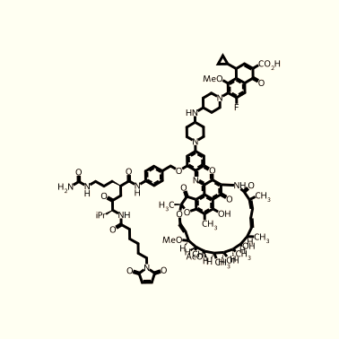 COc1c2c(cc(F)c1N1CCC(NC3CCN(c4cc(OCc5ccc(NC(=O)[C@H](CCCNC(N)=O)CC(=O)[C@@H](NC(=O)CCCCCN6C(=O)C=CC6=O)C(C)C)cc5)c5nc6c7c8c9c(C)c(O)c7c(=O)c(c-6oc5c4)NC(=O)/C(C)=C\C=C\[C@H](C)[C@H](O)[C@@H](C)[C@@H](O)[C@@H](C)[C@H](OC(C)=O)[C@H](C)[C@@H](OC)/C=C/O[C@@](C)(O9)C8=O)CC3)CC1)C(=O)C(C(=O)O)=CC2C1CC1